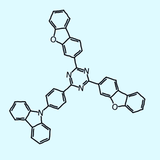 c1ccc2c(c1)oc1cc(-c3nc(-c4ccc(-n5c6ccccc6c6ccccc65)cc4)nc(-c4ccc5c(c4)oc4ccccc45)n3)ccc12